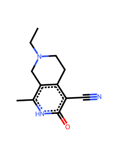 CCN1CCc2c(c(C)[nH]c(=O)c2C#N)C1